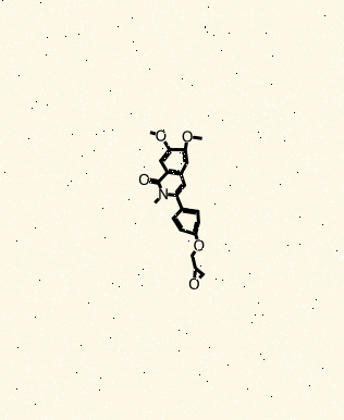 COc1cc2cc(-c3ccc(OCC4CO4)cc3)n(C)c(=O)c2cc1OC